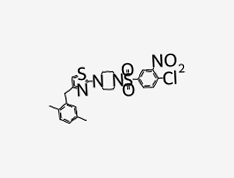 Cc1ccc(C)c(Cc2csc(N3CCN(S(=O)(=O)c4ccc(Cl)c([N+](=O)[O-])c4)CC3)n2)c1